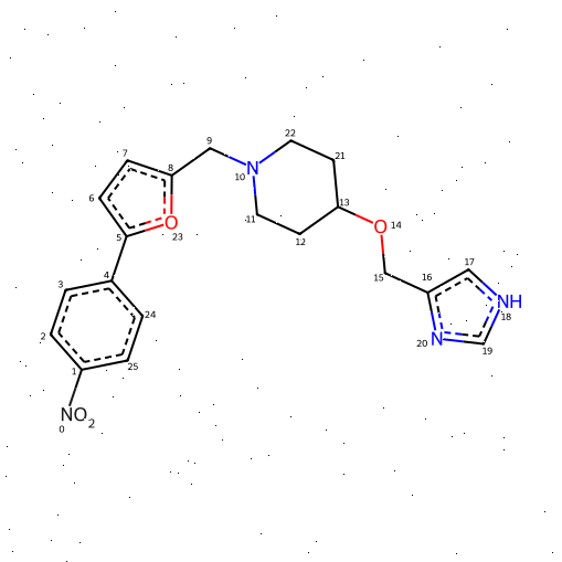 O=[N+]([O-])c1ccc(-c2ccc(CN3CCC(OCc4c[nH]cn4)CC3)o2)cc1